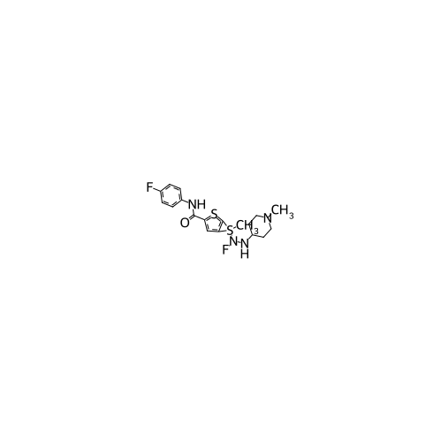 CN1CCC(NN(F)S2(C)c3cc(C(=O)Nc4ccc(F)cc4)sc32)CC1